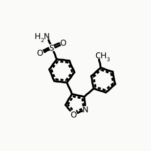 Cc1cccc(-c2nocc2-c2ccc(S(N)(=O)=O)cc2)c1